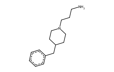 NCCCN1CCC(Cc2ccccc2)CC1